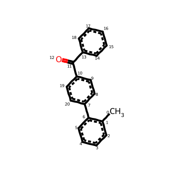 Cc1ccccc1-c1ccc(C(=O)c2ccccc2)cc1